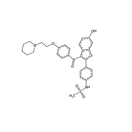 CS(=O)(=O)Nc1ccc(-c2sc3cc(O)ccc3c2C(=O)c2ccc(OCCN3CCCCC3)cc2)cc1